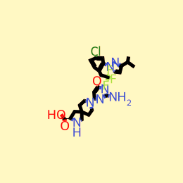 CC(C)c1ccn(-c2cc(Cl)ccc2[C@@H](Oc2cc(N3CCC4(CC3)CN[C@H](C(=O)O)C4)nc(N)n2)C(F)(F)F)n1